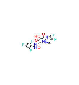 C[C@@H]1C[C@@H](C(F)F)[C@H](C)N2CN1n1cc(C(=O)NCc3c(F)cc(F)cc3F)c(=O)c(O)c1C2=O